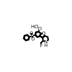 Cl.O=S(=O)(c1ccccc1)c1cc(Cl)c2oc3c(c2c1)C(CF)NCC3